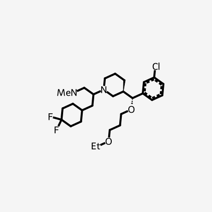 CCOCCCO[C@@H](c1cccc(Cl)c1)[C@@H]1CCCN(C(CNC)CC2CCC(F)(F)CC2)C1